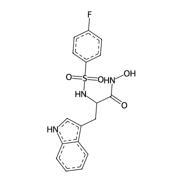 O=C(NO)C(Cc1c[nH]c2ccccc12)NS(=O)(=O)c1ccc(F)cc1